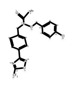 CCCC(=O)N(Cc1ccc(-c2noc(C(F)(F)F)n2)cc1)OCc1ccc(Cl)cc1